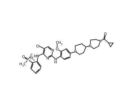 COc1cc(N2CCC(N3CCN(C(=O)C4CC4)CC3)CC2)ccc1Nc1ncc(Cl)c(Nc2ccccc2P(C)(C)=O)n1